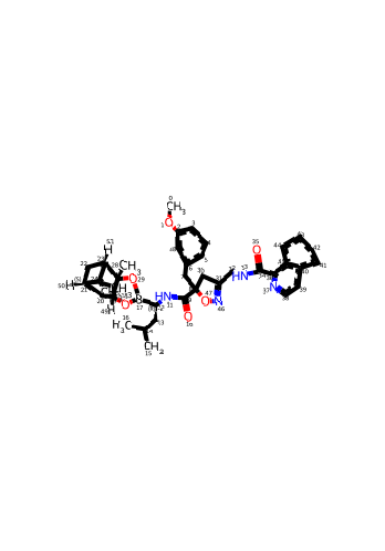 COc1cccc(CC2(C(=O)N[C@@H](CC(C)C)B3O[C@@H]4C[C@@H]5C[C@@H](C5(C)C)[C@]4(C)O3)CC(CNC(=O)c3nccc4ccccc34)=NO2)c1